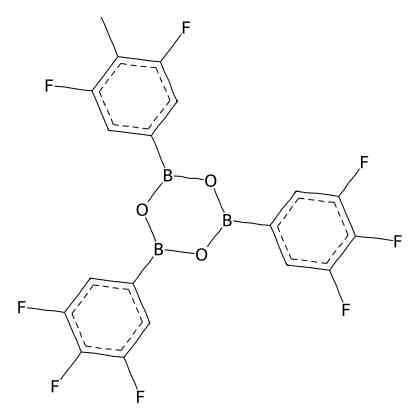 Cc1c(F)cc(B2OB(c3cc(F)c(F)c(F)c3)OB(c3cc(F)c(F)c(F)c3)O2)cc1F